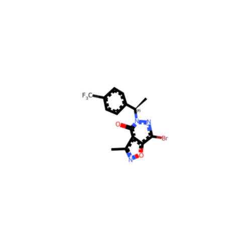 Cc1noc2c(Br)nn([C@H](C)c3ccc(C(F)(F)F)cc3)c(=O)c12